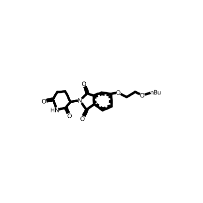 CCCCOCCOc1ccc2c(c1)C(=O)N(C1CCC(=O)NC1=O)C2=O